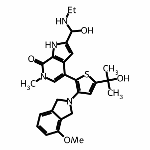 CCNC(O)c1cc2c(-c3sc(C(C)(C)O)cc3N3Cc4cccc(OC)c4C3)cn(C)c(=O)c2[nH]1